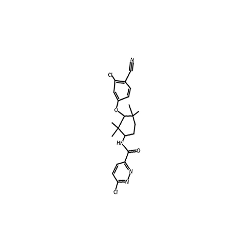 CC1(C)CCC(NC(=O)c2ccc(Cl)nn2)C(C)(C)C1Oc1ccc(C#N)c(Cl)c1